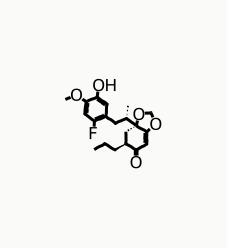 CCC[C@H]1C[C@]2([C@@H](C)Cc3cc(O)c(OC)cc3F)OCOC2=CC1=O